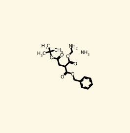 CC(C)(C)OC(=O)CC(C(=O)OCN)C(=O)OCc1ccccc1.N